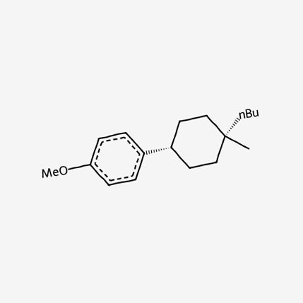 CCCC[C@]1(C)CC[C@H](c2ccc(OC)cc2)CC1